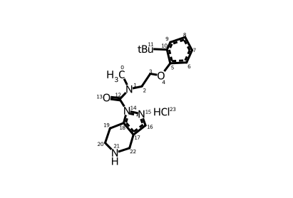 CN(CCOc1ccccc1C(C)(C)C)C(=O)n1ncc2c1CCNC2.Cl